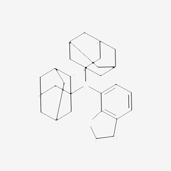 c1cc2c(c(P(C34CC5CC(CC(C5)C3)C4)C34CC5CC(CC(C5)C3)C4)c1)OCC2